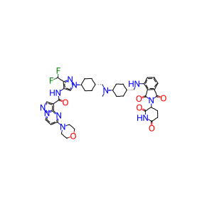 CN(C[C@H]1CC[C@H](n2cc(NC(=O)c3cnn4ccc(N5CCOCC5)nc34)c(C(F)F)n2)CC1)[C@H]1CC[C@H](CNc2cccc3c2C(=O)N(C2CCC(=O)NC2=O)C3=O)CC1